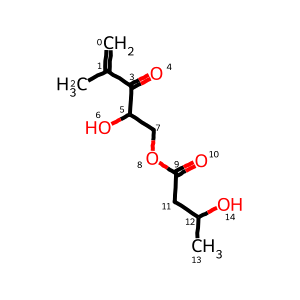 C=C(C)C(=O)C(O)COC(=O)CC(C)O